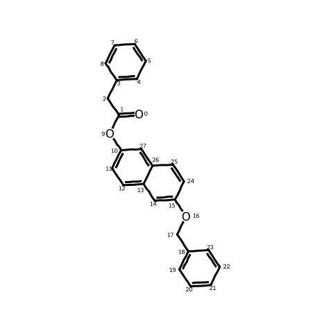 O=C(Cc1ccccc1)Oc1ccc2cc(OCc3ccccc3)ccc2c1